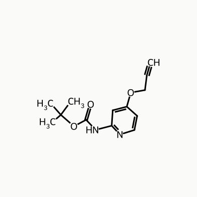 C#CCOc1ccnc(NC(=O)OC(C)(C)C)c1